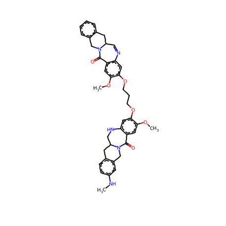 CNc1ccc2c(c1)CN1C(=O)c3cc(OC)c(OCCCOc4cc5c(cc4OC)C(=O)N4Cc6ccccc6CC4C=N5)cc3NCC1C2